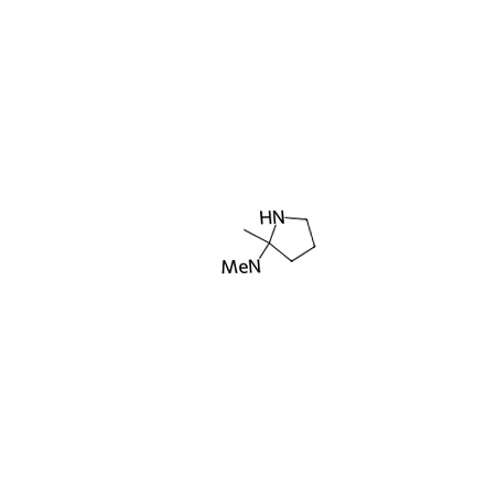 CNC1(C)CCCN1